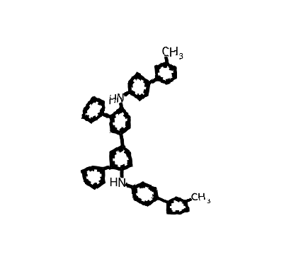 Cc1cccc(-c2ccc(Nc3ccc(-c4ccc(Nc5ccc(-c6cccc(C)c6)cc5)c(-c5ccccc5)c4)cc3-c3ccccc3)cc2)c1